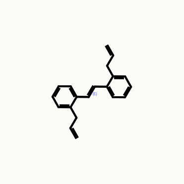 C=CCc1ccccc1/C=C/c1ccccc1CC=C